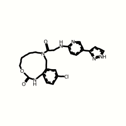 O=C1Nc2ccc(Cl)cc2CN(C(=O)CNc2ccc(-c3cc[nH]n3)cn2)CCCCO1